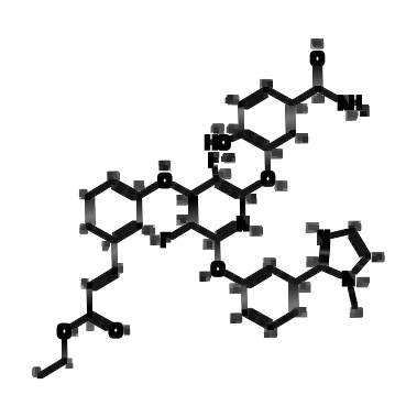 CCOC(=O)C=Cc1cccc(Oc2c(F)c(Oc3cccc(-c4nccn4C)c3)nc(Oc3cc(C(N)=O)ccc3O)c2F)c1